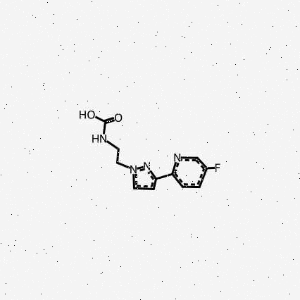 O=C(O)NCCn1ccc(-c2ccc(F)cn2)n1